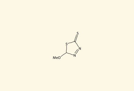 COC1N=NC(=S)S1